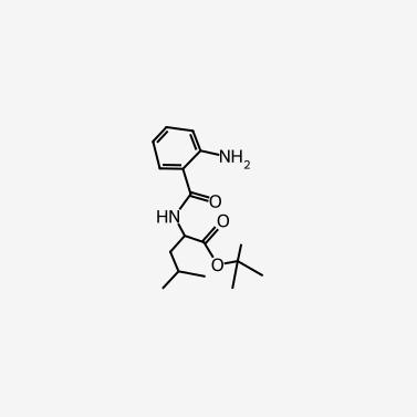 CC(C)CC(NC(=O)c1ccccc1N)C(=O)OC(C)(C)C